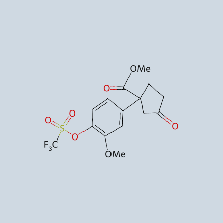 COC(=O)C1(c2ccc(OS(=O)(=O)C(F)(F)F)c(OC)c2)CCC(=O)C1